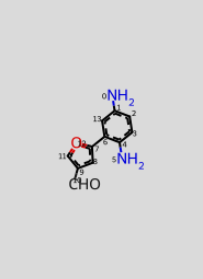 Nc1ccc(N)c(-c2cc(C=O)co2)c1